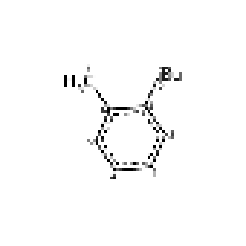 [CH2]C(CC)c1ccccc1C